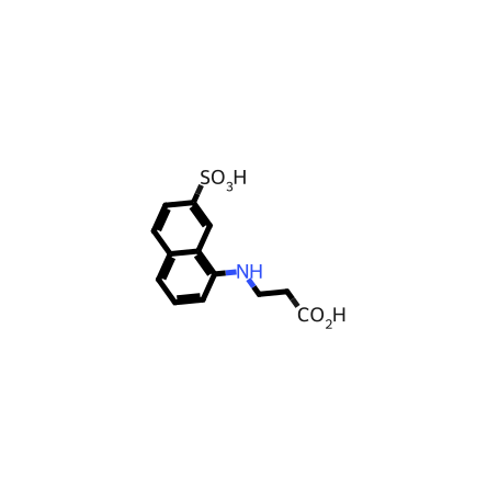 O=C(O)CCNc1cccc2ccc(S(=O)(=O)O)cc12